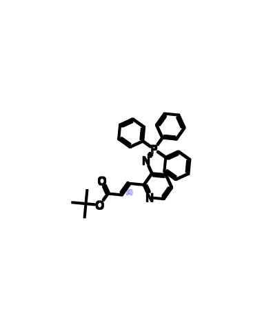 CC(C)(C)OC(=O)/C=C/c1ncccc1N=P(c1ccccc1)(c1ccccc1)c1ccccc1